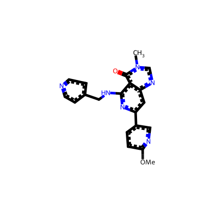 COc1ccc(-c2cc3ncn(C)c(=O)c3c(NCc3ccncc3)n2)cn1